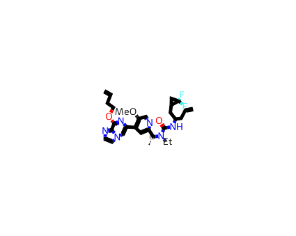 C=CCCOc1nc(-c2cc([C@@H](C)N(CC)C(=O)NC(CC=C)CC3CC3(F)F)ncc2OC)cn2ccnc12